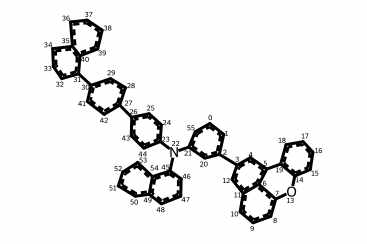 c1cc(-c2cc3c4c(cccc4c2)Oc2ccccc2-3)cc(N(c2ccc(-c3ccc(-c4cccc5ccccc45)cc3)cc2)c2cccc3ccccc23)c1